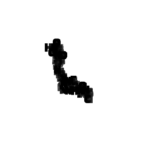 Nc1nccn2c(N3CCC4(CC3)CN(Cc3ccc5c(c3)CN(C3CCC(=O)NC3=O)C5=O)C4)nc(-c3ccc(C(=O)Nc4cc(Cl)ccn4)cc3F)c12